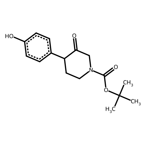 CC(C)(C)OC(=O)N1CCC(c2ccc(O)cc2)C(=O)C1